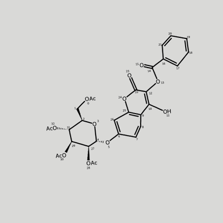 CC(=O)OC[C@H]1O[C@H](Oc2ccc3c(O)c(OC(=O)c4ccccc4)c(=O)oc3c2)[C@@H](OC(C)=O)[C@@H](OC(C)=O)[C@@H]1OC(C)=O